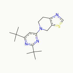 CC(C)(C)c1cc(N2CCc3ncsc3C2)nc(C(C)(C)C)n1